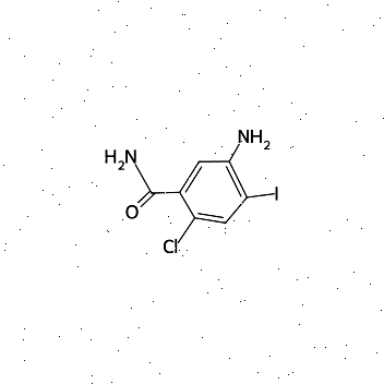 NC(=O)c1cc(N)c(I)cc1Cl